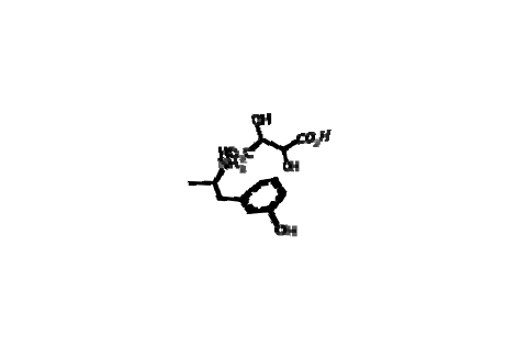 CC(N)Cc1cccc(O)c1.O=C(O)C(O)C(O)C(=O)O